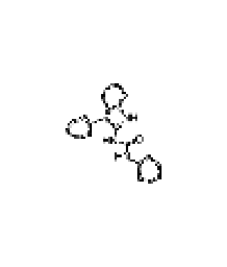 O=C(Nc1ccccc1)Nc1[nH]c2ccccc2c1-c1ccccc1